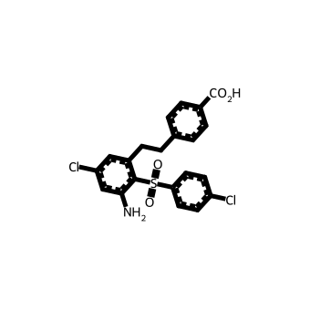 Nc1cc(Cl)cc(CCc2ccc(C(=O)O)cc2)c1S(=O)(=O)c1ccc(Cl)cc1